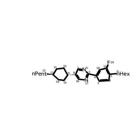 CCCCCCc1ccc(-c2ncc([C@H]3CC[C@H](CCCCC)CC3)cn2)cc1F